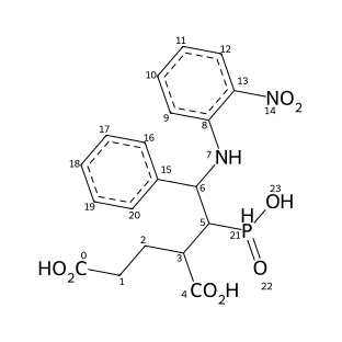 O=C(O)CCC(C(=O)O)C(C(Nc1ccccc1[N+](=O)[O-])c1ccccc1)[PH](=O)O